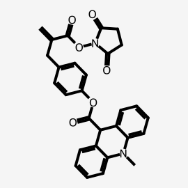 C=C(Cc1ccc(OC(=O)C2c3ccccc3N(C)c3ccccc32)cc1)C(=O)ON1C(=O)CCC1=O